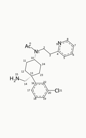 CC(=O)N(CCc1ccccn1)[C@H]1CC[C@](CN)(c2cccc(Cl)c2)CC1